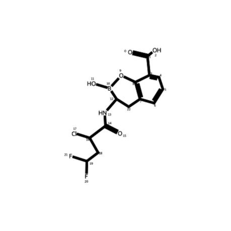 O=C(O)c1cccc2c1OB(O)C(NC(=O)C(Cl)CC(F)F)C2